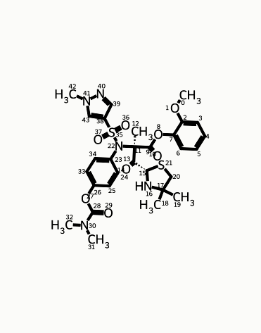 COc1ccccc1OC(=O)[C@@](C)(C(=O)[C@H]1NC(C)(C)CS1)N(c1ccc(OC(=O)N(C)C)cc1)S(=O)(=O)c1cnn(C)c1